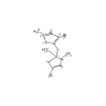 CCC1=NN(C)C(C)(Cc2sc(C)nc2Br)C1